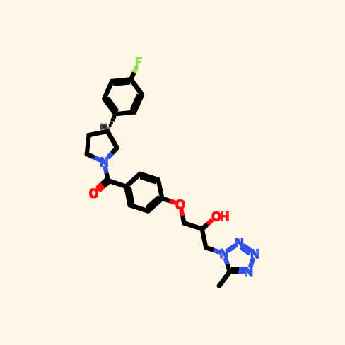 Cc1nnnn1CC(O)COc1ccc(C(=O)N2CC[C@H](c3ccc(F)cc3)C2)cc1